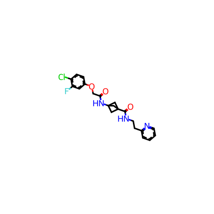 O=C(COc1ccc(Cl)c(F)c1)NC12CC(C(=O)NCCc3ccccn3)(C1)C2